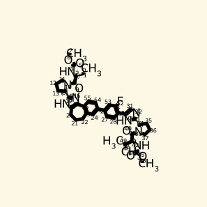 CC[C@H](NC(=O)OC)C(=O)N1CCC[C@H]1c1nc2c([nH]1)CCCc1cc(-c3ccc(-c4cnc([C@@H]5CCCN5C(=O)[C@@H](NC(=O)OC)C(C)C)[nH]4)c(F)c3)ccc1-2